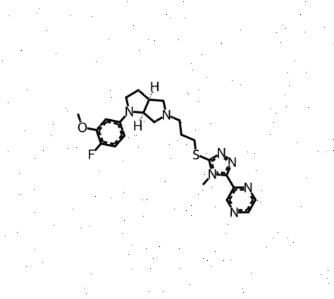 COc1cc(N2CC[C@H]3CN(CCCSc4nnc(-c5cnccn5)n4C)C[C@H]32)ccc1F